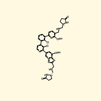 COc1nc(-c2cccc(-c3ccnc(-c4cc(OC)c5nc(CNC[C@@H]6CCC(=O)N6)nn5c4)c3Cl)c2Cl)ccc1CNC[C@H]1CCC(=O)N1